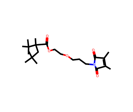 CC1=C(C)C(=O)N(CCCOCCOC(=O)C(C)(CC(C)(C)C)C(C)(C)C)C1=O